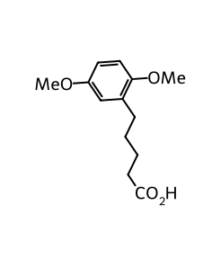 COc1ccc(OC)c(CCCCC(=O)O)c1